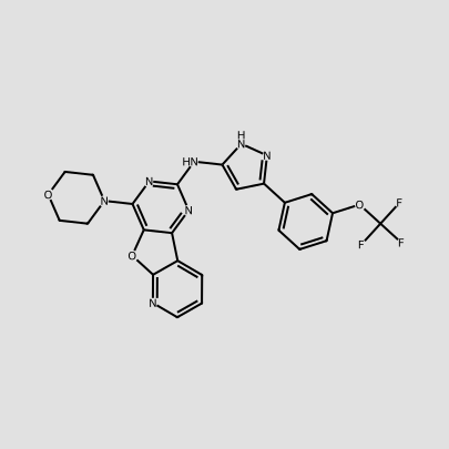 FC(F)(F)Oc1cccc(-c2cc(Nc3nc(N4CCOCC4)c4oc5ncccc5c4n3)[nH]n2)c1